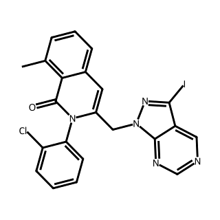 Cc1cccc2cc(Cn3nc(I)c4cncnc43)n(-c3ccccc3Cl)c(=O)c12